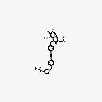 COC1CCN(Cc2ccc(C#Cc3ccc(CC(C(=O)NCC(F)F)c4nc[nH]c(=O)c4O)cc3)cc2)C1